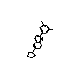 Cc1cc(C)cc(-c2ccc3cc(C4CCCC4)ccc3n2)c1